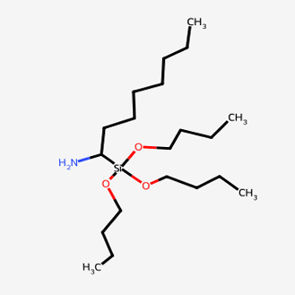 CCCCCCCC(N)[Si](OCCCC)(OCCCC)OCCCC